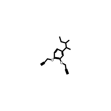 C#CCOc1ccc(C(C)C(C)CC)cc1OCC#C